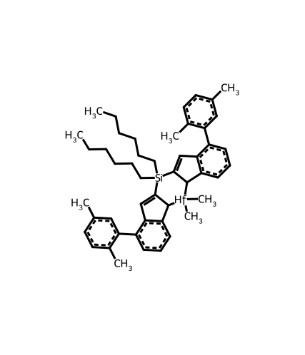 CCCCCC[Si]1(CCCCCC)C2=Cc3c(-c4cc(C)ccc4C)cccc3[CH]2[Hf]([CH3])([CH3])[CH]2C1=Cc1c(-c3cc(C)ccc3C)cccc12